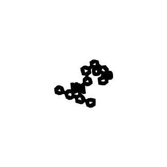 c1ccc(-c2ccc3c4ccc(-c5ccccc5)cc4c4nc(-c5cccc(-c6cccc(-c7cccc8c7oc7c8ccc8oc9ccccc9c87)c6)c5)cnc4c3c2)cc1